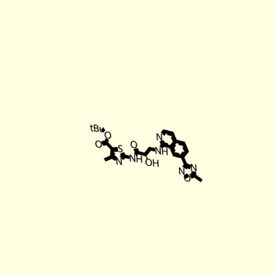 Cc1nc(-c2ccc3ccnc(NC[C@H](O)C(=O)Nc4nc(C)c(C(=O)OC(C)(C)C)s4)c3c2)no1